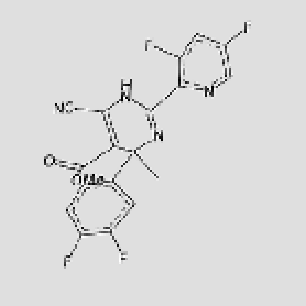 COC(=O)C1=C(C#N)NC(c2ncc(F)cc2F)=NC1(C)c1ccc(F)c(F)c1